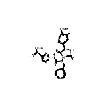 COC(=O)c1csc(NC(=O)[C@H](Cc2ccccc2)N2C(=O)NC(c3ccc(OC)c(F)c3)C2=O)n1